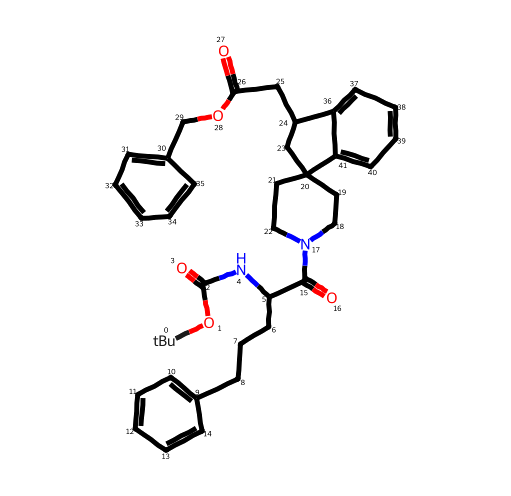 CC(C)(C)OC(=O)NC(CCCc1ccccc1)C(=O)N1CCC2(CC1)CC(CC(=O)OCc1ccccc1)c1ccccc12